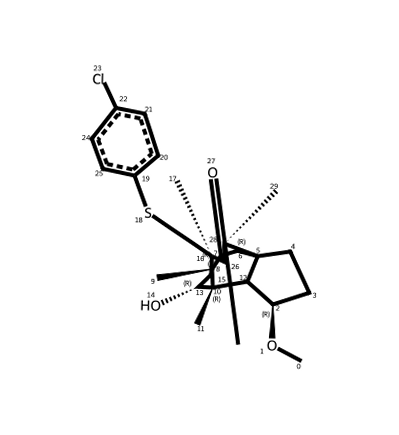 CO[C@@H]1CCC23CC[C@@H](C)[C@](C)(C12)[C@H](O)C[C@@](C)(Sc1ccc(Cl)cc1)C(=O)[C@@H]3C